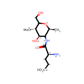 CO[C@@H]1C(CO)O[C@@H](C)C(NC(=O)[C@@H](N)CCC(=O)O)[C@H]1O